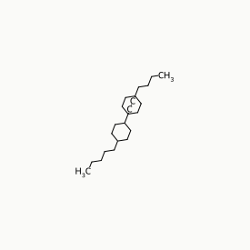 CCCCCC1CCC(C23CCC(CCCC)(CC2)CC3)CC1